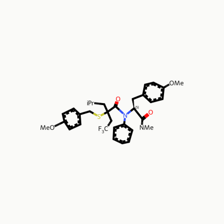 CNC(=O)[C@H](Cc1ccc(OC)cc1)N(C(=O)C(CC(C)C)(CC(F)(F)F)SCc1ccc(OC)cc1)c1ccccc1